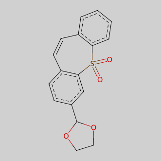 O=S1(=O)c2ccccc2C=Cc2ccc(C3OCCO3)cc21